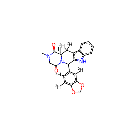 [2H]c1c([2H])c(C2c3[nH]c4ccccc4c3C([2H])([2H])[C@@H]3C(=O)N(C)CC(=O)N23)c([2H])c2c1OCO2